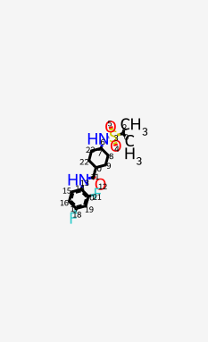 CC(C)S(=O)(=O)NC1CCC(C(=O)Nc2ccc(F)cc2F)CC1